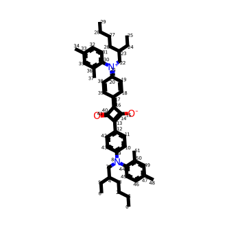 CCCCC(CC)CN(c1ccc(C2=C([O-])C(=C3C=CC(=[N+](CC(CC)CCCC)c4ccc(C)cc4C)C=C3)C2=O)cc1)c1ccc(C)cc1C